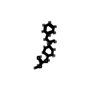 COC(=O)O[C@H]1CC[C@H](N(C)Cc2ccccc2)CC1